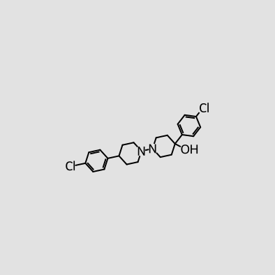 OC1(c2ccc(Cl)cc2)CCN(N2CCC(c3ccc(Cl)cc3)CC2)CC1